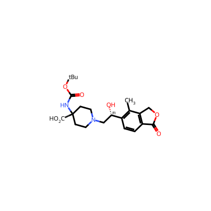 Cc1c([C@@H](O)CN2CCC(NC(=O)OC(C)(C)C)(C(=O)O)CC2)ccc2c1COC2=O